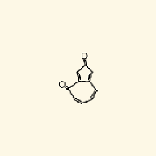 O=C1C=c2ccccc(=O)c2=C1